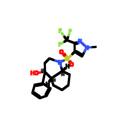 Cn1cc(S(=O)(=O)N2CC[C@](O)(c3ccccc3)[C@H]3CCCC[C@H]32)c(C(F)(F)F)n1